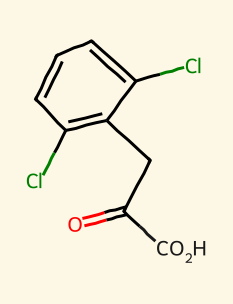 O=C(O)C(=O)Cc1c(Cl)cccc1Cl